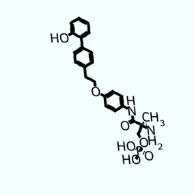 C[C@](N)(COP(=O)(O)O)C(=O)Nc1ccc(OCCc2ccc(-c3ccccc3O)cc2)cc1